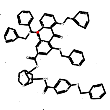 O=C(NC1CN2CCC(CC2)C1OC(=O)c1cc(OCc2ccccc2)c(C(=O)c2c(OCc3ccccc3)cccc2C(=O)OCc2ccccc2)c(OCc2ccccc2)c1)c1ccc(OCc2ccccc2)cc1